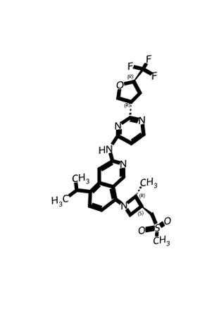 CC(C)c1ccc(N2C[C@H](CS(C)(=O)=O)[C@H]2C)c2cnc(Nc3ccnc([C@@H]4CO[C@@H](C(F)(F)F)C4)n3)cc12